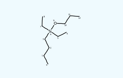 CCCC[Si](CC)(CC)OCCC